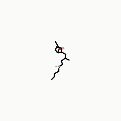 CCCCNCCC(C)CC1C2CC[C@@]13C(C)C23